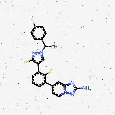 CC(c1ccc(F)cc1)n1cc(-c2cccc(-c3ccn4nc(N)nc4c3)c2F)c(F)n1